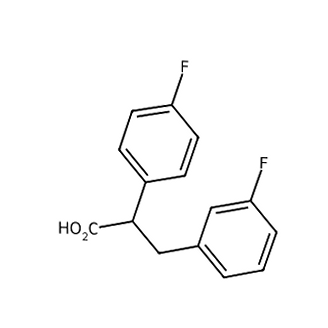 O=C(O)C(Cc1cccc(F)c1)c1ccc(F)cc1